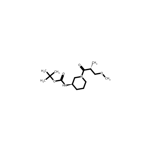 COC[C@@H](C)C(=O)N1CCC[C@@H](NC(=O)OC(C)(C)C)C1